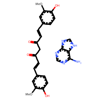 COc1cc(/C=C/C(=O)CC(=O)/C=C/c2ccc(O)c(OC)c2)ccc1O.Nc1ncnc2nc[nH]c12